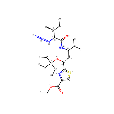 CCOC(=O)c1csc([C@@H](C[C@@H](NC(=O)[C@@H](N=[N+]=[N-])[C@@H](C)CC)C(C)C)O[Si](CC)(CC)CC)n1